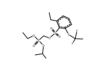 CCOP(=O)(COS(=O)(=O)c1c(CC)cccc1SC(F)(F)F)OC(C)C